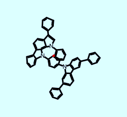 c1ccc(-c2ccc3c(c2)c2ccc(-c4ccccc4)cc2n3-c2ccc(-n3c4ccccc4c4ccc5c(-c6ccccc6)cn(-c6ccccc6)c5c43)cc2)cc1